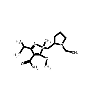 CCN1CCCC1C[N+]1(C)N=C(C(C)C)C(C(N)=O)=C1OC